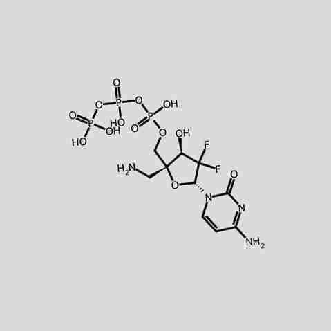 NC[C@]1(COP(=O)(O)OP(=O)(O)OP(=O)(O)O)O[C@@H](n2ccc(N)nc2=O)C(F)(F)[C@@H]1O